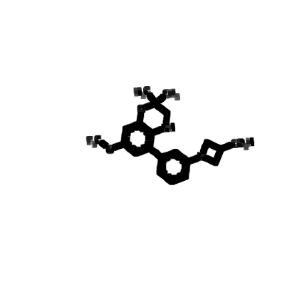 CC1(C)CNc2c(cc(OC(F)(F)F)cc2-c2cccc(N3CC(C(=O)O)C3)c2)O1